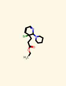 CCOC(=O)CCC1(Br)C=CC=NC1N1CCCCC1